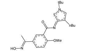 CCCCc1cn(C(C)(C)C)sc1=NC(=O)c1cc(C(C)=NO)ccc1OC